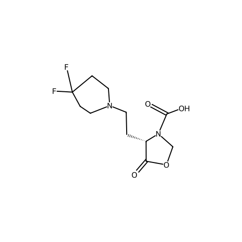 O=C1OCN(C(=O)O)[C@H]1CCN1CCC(F)(F)CC1